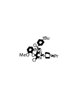 COc1ccccc1Oc1c(Cl)nc(N2CCN(C(C)C)CC2)nc1NS(=O)(=O)c1ccc(C(C)(C)C)cc1